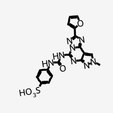 Cn1cc2c(nc(NC(=O)Nc3ccc(S(=O)(=O)O)cc3)n3nc(-c4ccco4)nc23)n1